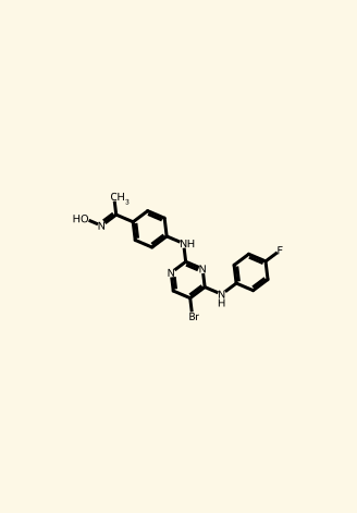 CC(=NO)c1ccc(Nc2ncc(Br)c(Nc3ccc(F)cc3)n2)cc1